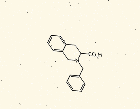 O=C(O)C1Cc2ccccc2CN1Cc1ccccc1